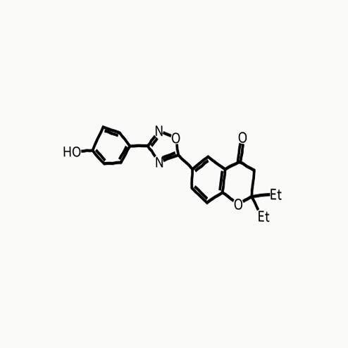 CCC1(CC)CC(=O)c2cc(-c3nc(-c4ccc(O)cc4)no3)ccc2O1